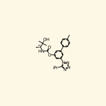 Cc1ccc(-c2cc(OC(=O)N[C@@H](C)C(C)(C)O)cc(-n3nnnc3C(C)C)c2)cc1